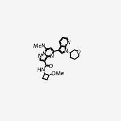 CNc1cc(-c2cn([C@H]3CCCOC3)c3ncccc23)nc2c(C(=O)N[C@H]3CC[C@@H]3OC)cnn12